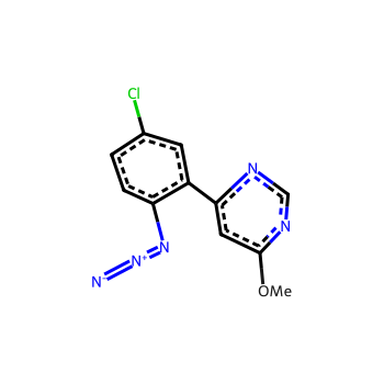 COc1cc(-c2cc(Cl)ccc2N=[N+]=[N-])ncn1